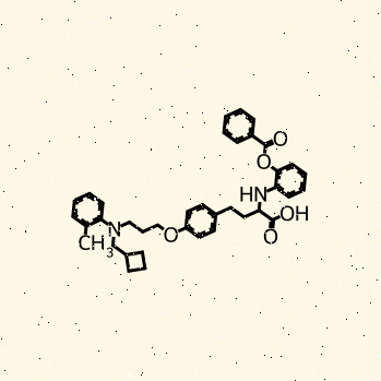 Cc1ccccc1N(CCCOc1ccc(CCC(Nc2ccccc2OC(=O)c2ccccc2)C(=O)O)cc1)CC1CCC1